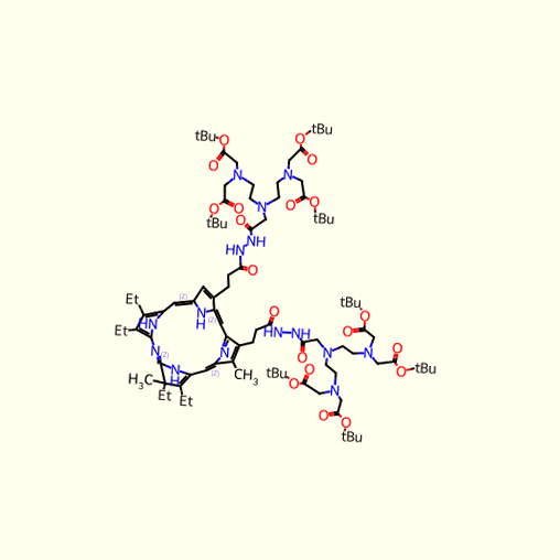 CCC1=C2/C=C3N=C(/C=c4\[nH]/c(cc4CCC(=O)NNC(=O)CN(CCN(CC(=O)OC(C)(C)C)CC(=O)OC(C)(C)C)CCN(CC(=O)OC(C)(C)C)CC(=O)OC(C)(C)C)=C\c4[nH]c(c(CC)c4CC)/N=C(\N2)C1(C)CC)C(CCC(=O)NNC(=O)CN(CCN(CC(=O)OC(C)(C)C)CC(=O)OC(C)(C)C)CCN(CC(=O)OC(C)(C)C)CC(=O)OC(C)(C)C)=C\3C